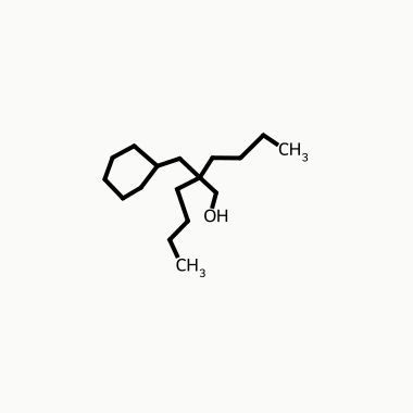 CCCCC(CO)(CCCC)CC1CCCCC1